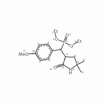 CCOP(=O)(OCC)C(c1ccc(OC)cc1)C1CC(C)(C)NC1=O